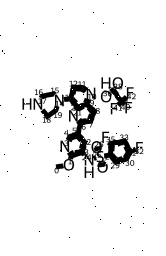 COc1ncc(-c2ccc3nccc(N4CCNCC4)c3n2)cc1NS(=O)(=O)c1ccc(F)cc1F.O=C(O)C(F)(F)F